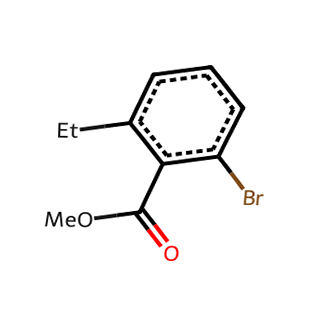 CCc1cccc(Br)c1C(=O)OC